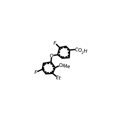 CCc1cc(F)cc(Oc2ccc(C(=O)O)cc2F)c1OC